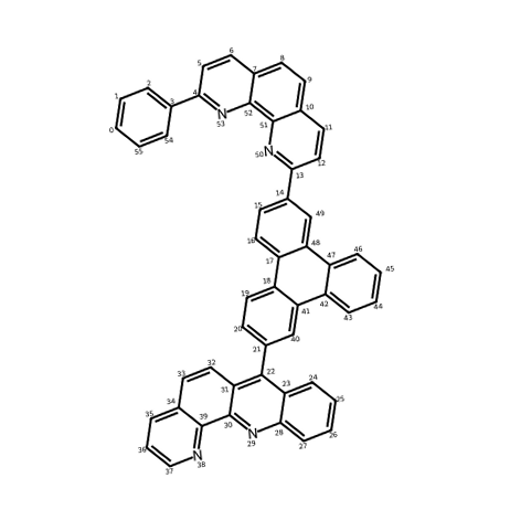 c1ccc(-c2ccc3ccc4ccc(-c5ccc6c7ccc(-c8c9ccccc9nc9c8ccc8cccnc89)cc7c7ccccc7c6c5)nc4c3n2)cc1